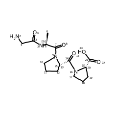 C[C@H](NC(=O)CN)C(=O)N1CCC[C@H]1C(=O)N1CCC[C@H]1C(=O)O